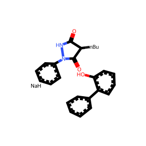 CCCCC1C(=O)NN(c2ccccc2)C1=O.Oc1ccccc1-c1ccccc1.[NaH]